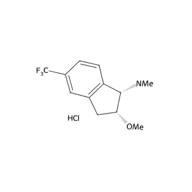 CN[C@H]1c2ccc(C(F)(F)F)cc2C[C@H]1OC.Cl